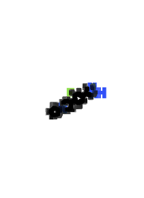 Fc1cc(-c2cn[nH]c2)ccc1C1CCN(C2CCCC2)CC1